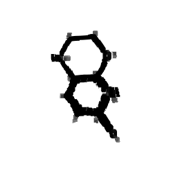 O=c1ccc2c([nH]1)OCCN2